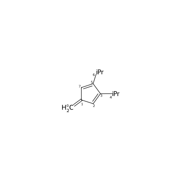 C=C1C=C(C(C)C)C(C(C)C)=C1